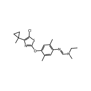 CCN(C)C=Nc1cc(C)c(Oc2nc(C3(C)CC3)c(Cl)s2)cc1C